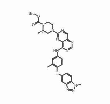 Cc1cc(Nc2ncnc3cnc(N4CCN(C(=O)OC(C)(C)C)[C@H](C)C4)nc23)ccc1Oc1ccc2c(c1)nnn2C